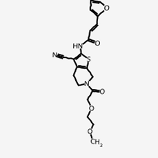 COCCOCC(=O)N1CCc2c(sc(NC(=O)/C=C/c3ccco3)c2C#N)C1